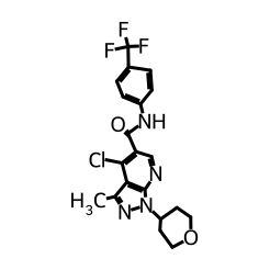 Cc1nn(C2CCOCC2)c2ncc(C(=O)Nc3ccc(C(F)(F)F)cc3)c(Cl)c12